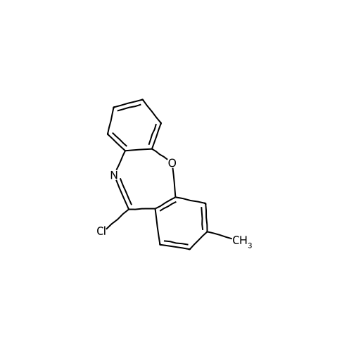 Cc1ccc2c(c1)Oc1ccccc1N=C2Cl